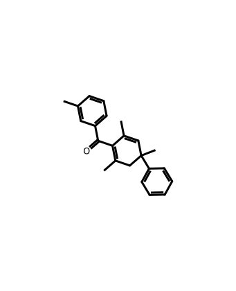 CC1=CC(C)(c2ccccc2)CC(C)=C1C(=O)c1cccc(C)c1